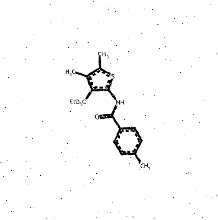 CCOC(=O)c1c(NC(=O)c2ccc(C)cc2)sc(C)c1C